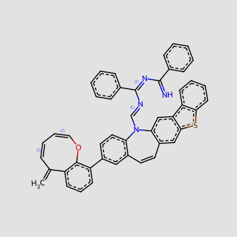 C=C1/C=C\C=C/Oc2c1cccc2-c1ccc2c(c1)C=Cc1cc3sc4ccccc4c3cc1N2/C=N/C(=N\C(=N)c1ccccc1)c1ccccc1